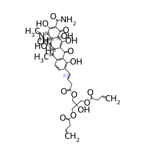 C=CCC(=O)OCC(O)(COC(=O)CC=C)COC(=O)C/C=C/c1ccc2c(c1O)C(=O)C1=C(O)[C@]3(O)C(=O)C(C(N)=O)=C(O)[C@@H](N(C)C)[C@@H]3[C@@H](O)[C@@H]1[C@H]2C